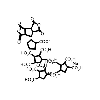 O=C(O)C1CC(C(=O)O)C(C(=O)O)C1C(=O)O.O=C(O)C1CC(C(=O)O)C(C(=O)O)C1C(=O)O.O=C(O)C1CC(C(=O)O)C(C(=O)O)C1C(=O)O.O=C([O-])C1CCCC1.O=C1OC(=O)C2C1CC1C(=O)OC(=O)C12.[Na+]